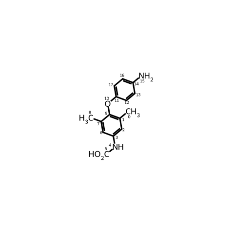 Cc1cc(NC(=O)O)cc(C)c1Oc1ccc(N)cc1